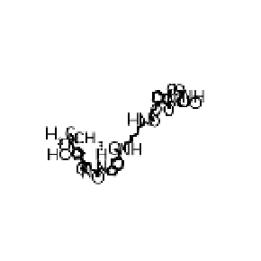 CN(C)C(=O)c1ccc(-c2cc(C(=O)N[C@@H]3CCc4ccc(C(=O)NCCCCCCNC(=O)COc5cccc6c5C(=O)N(C5CCC(=O)NC5=O)C6=O)cc43)no2)cc1O